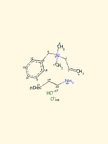 C=CC[N+](C)(C)Cc1ccccc1.CCCCCCCCCCCCN.Cl.[Cl-]